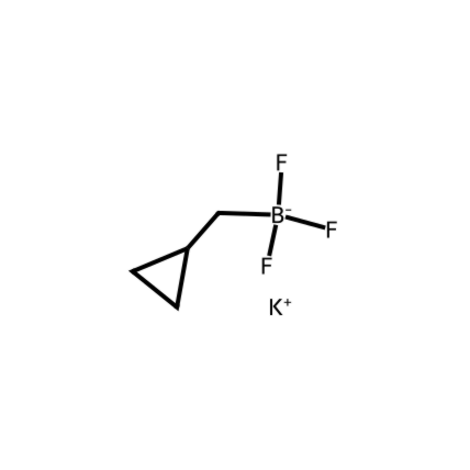 F[B-](F)(F)CC1CC1.[K+]